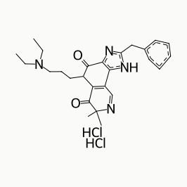 CCN(CC)CCCC1C(=O)c2nc(Cc3ccccc3)[nH]c2C2=C1C(=O)C(C)(C)N=C2.Cl.Cl